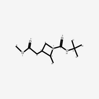 COC(=O)CC1CN(C(=O)OC(C)(C)C)C1C